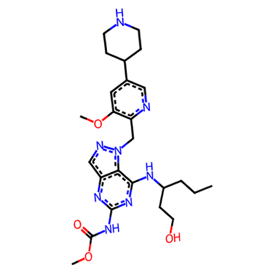 CCCC(CCO)Nc1nc(NC(=O)OC)nc2cnn(Cc3ncc(C4CCNCC4)cc3OC)c12